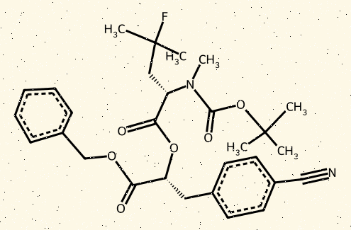 CN(C(=O)OC(C)(C)C)[C@@H](CC(C)(C)F)C(=O)O[C@H](Cc1ccc(C#N)cc1)C(=O)OCc1ccccc1